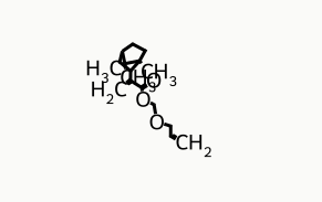 C=CCOCOC(=O)C(=C)C1CC2CCC1(C)C2(C)C